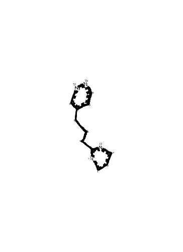 c1cnc(CCCc2ccnnc2)nc1